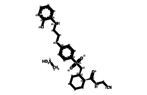 CS(=O)(=O)O.N#CCNC(=O)[C@@H]1CCCC[C@H]1CS(=O)(=O)c1ccc(SCCNc2cccnc2Cl)cc1